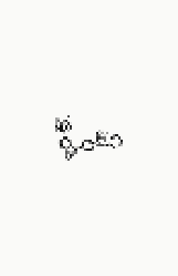 Cc1nnc(-c2ccc3occ(-c4ccc([S+]([O-])Cc5ccccc5)cc4)c3c2)o1